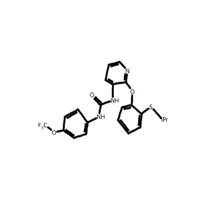 CC(C)Sc1ccccc1Oc1ncccc1NC(=O)Nc1ccc(OC(F)(F)F)cc1